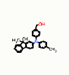 Cc1ccc(N(c2ccc(CO)cc2)c2ccc3c(c2)C(C)(C)c2ccccc2-3)cc1